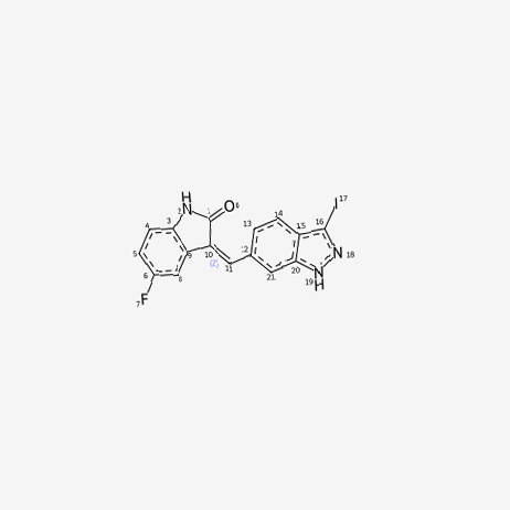 O=C1Nc2ccc(F)cc2/C1=C/c1ccc2c(I)n[nH]c2c1